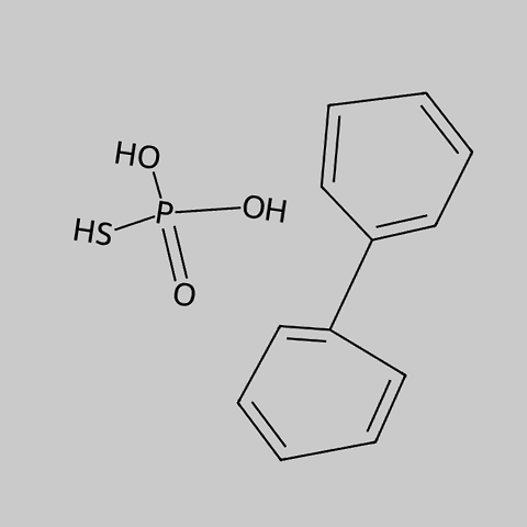 O=P(O)(O)S.c1ccc(-c2ccccc2)cc1